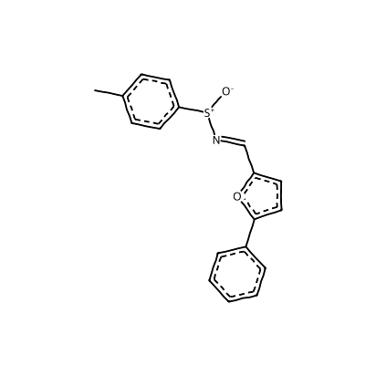 Cc1ccc([S+]([O-])N=Cc2ccc(-c3ccccc3)o2)cc1